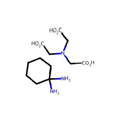 NC1(N)CCCCC1.O=C(O)CN(CC(=O)O)CC(=O)O